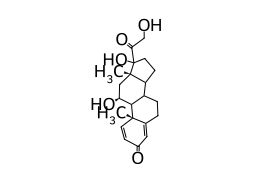 C[C@]12C=CC(=O)C=C1CCC1C2[C@@H](O)C[C@@]2(C)C1CCC2(O)C(=O)CO